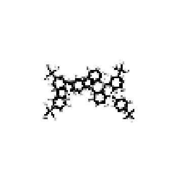 CC(C)(C)c1ccc(N2c3ccc(C(C)(C)C)cc3B3c4c2cccc4-n2c4cc5c(cc4c4cccc3c42)c2cc(C(C)(C)C)cc3c4cc(C(C)(C)C)ccc4n5c32)cc1